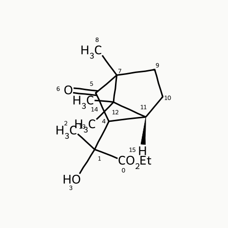 CCOC(=O)C(C)(O)C1C(=O)C2(C)CC[C@H]1C2(C)C